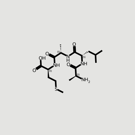 CSCC[C@H](NC(=O)[C@H](C)NC(=O)[C@H](CC(C)C)NC(=O)[C@H](C)N)C(=O)O